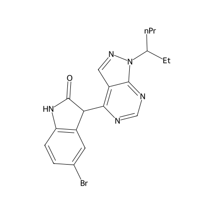 CCCC(CC)n1ncc2c(C3C(=O)Nc4ccc(Br)cc43)ncnc21